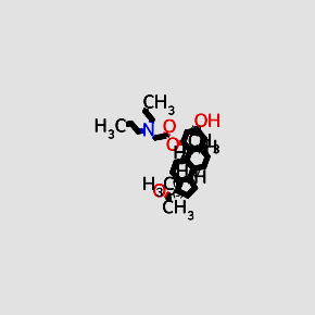 CCCN(CCC)CC(=O)OC1C[C@H](O)C[C@@H]2CC[C@H]3[C@@H]4CC[C@H](C(C)=O)[C@@]4(C)CC[C@@H]3[C@@]12C